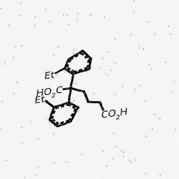 CCc1ccccc1C(CCCC(=O)O)(C(=O)O)c1ccccc1CC